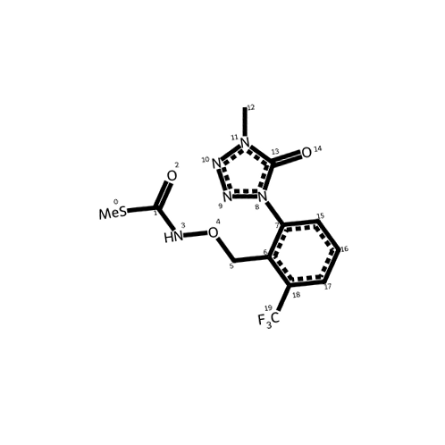 CSC(=O)NOCc1c(-n2nnn(C)c2=O)cccc1C(F)(F)F